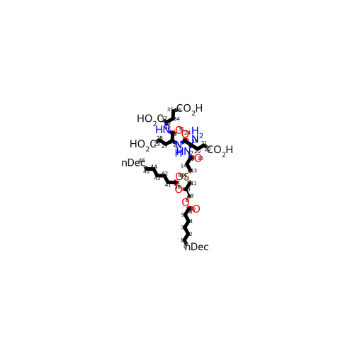 CCCCCCCCCCCCCCCC(=O)OC[C@H](CSCCC(=O)N[C@](N)(CCC(=O)O)C(=O)NC(CCC(=O)O)C(=O)NC(CCC(=O)O)C(=O)O)OC(=O)CCCCCCCCCCCCCCC